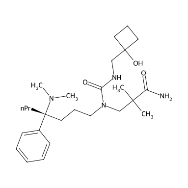 CCC[C@@](CCCN(CC(C)(C)C(N)=O)C(=O)NCC1(O)CCC1)(c1ccccc1)N(C)C